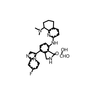 CN(C)C1CCCc2ccc(Nc3ccc(-c4cnc5cc(F)ccn45)c4c3C(=O)NC4)nc21.O=CO